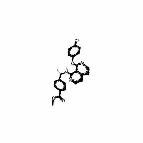 COC(=O)c1ccc([C@H](C)Nc2nccc3ccnc(Oc4ccc(Cl)cc4)c23)cc1